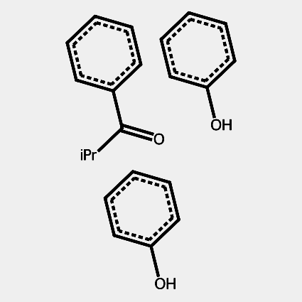 CC(C)C(=O)c1ccccc1.Oc1ccccc1.Oc1ccccc1